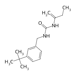 C=C(CC)NC(=O)NCc1cccc(C(C)(C)C)c1